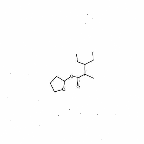 CCC(CC)C(C)C(=O)OC1CCCO1